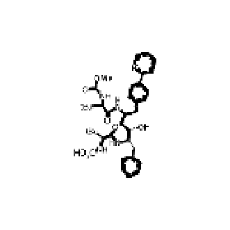 COC(=O)NC(C(=O)NC(Cc1ccc(-c2ccccn2)cc1)C[C@H](O)[C@H](Cc1ccccc1)NC(=O)[C@@H](NC(=O)O)C(C)(C)C)C(C)(C)C